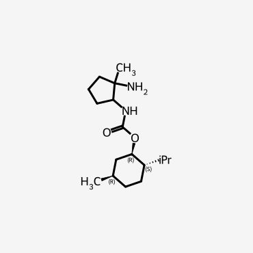 CC(C)[C@@H]1CC[C@@H](C)C[C@H]1OC(=O)NC1CCCC1(C)N